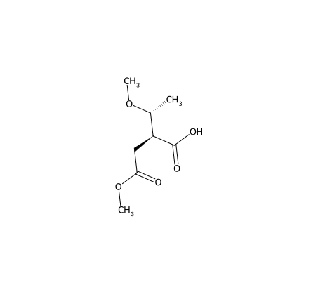 COC(=O)C[C@H](C(=O)O)[C@@H](C)OC